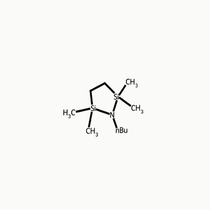 [CH2]CCCN1[Si](C)(C)CC[Si]1(C)C